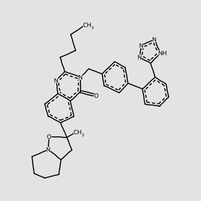 CCCCc1nc2ccc(C3(C)CC4CCCCN4O3)cc2c(=O)n1Cc1ccc(-c2ccccc2-c2nnn[nH]2)cc1